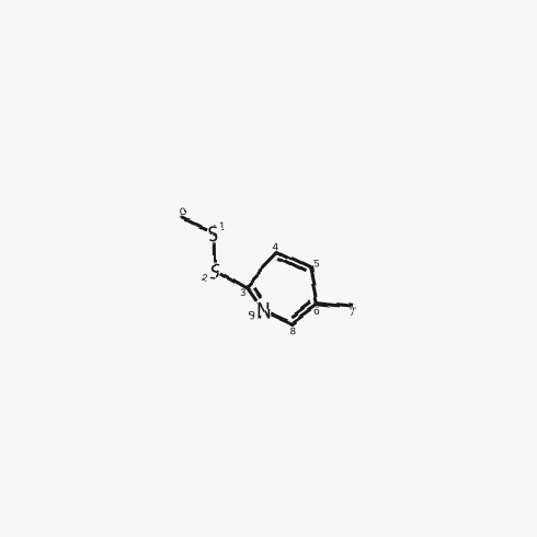 CSSc1ccc(C)cn1